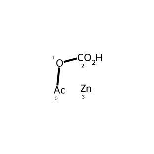 CC(=O)OC(=O)O.[Zn]